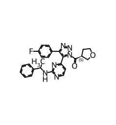 CC(Nc1nccc(-c2c(-c3ccc(F)cc3)nnn2C(=O)[C@H]2CCOC2)n1)c1ccccc1